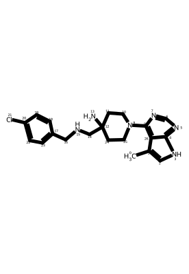 Cc1c[nH]c2ncnc(N3CCC(N)(CNCc4ccc(Cl)cc4)CC3)c12